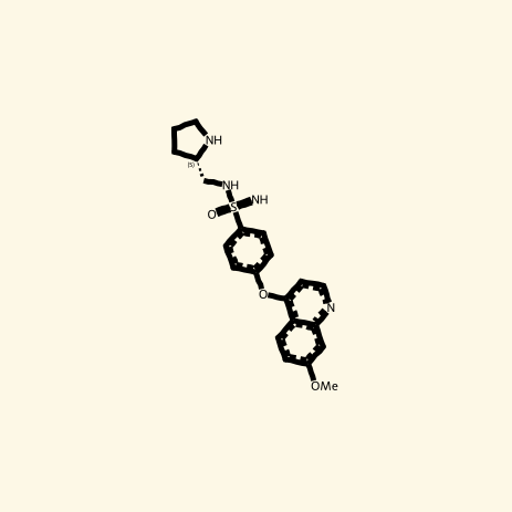 COc1ccc2c(Oc3ccc(S(=N)(=O)NC[C@@H]4CCCN4)cc3)ccnc2c1